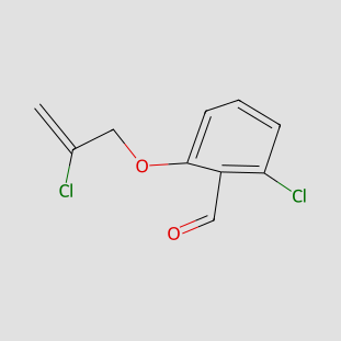 C=C(Cl)COc1cccc(Cl)c1C=O